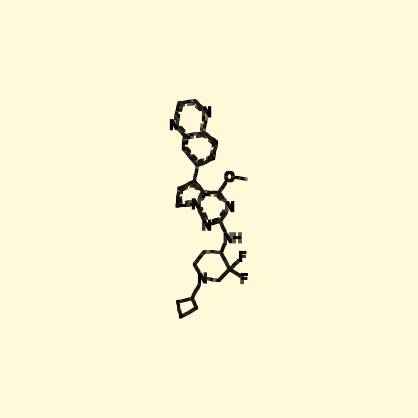 COc1nc(NC2CCN(C3CCC3)CC2(F)F)nn2ccc(-c3ccc4nccnc4c3)c12